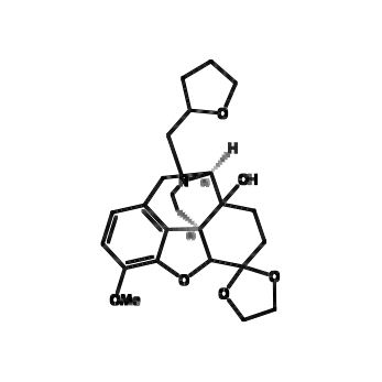 COc1ccc2c3c1OC1C4(CCC5(O)[C@H](C2)N(CC2CCCO2)CC[C@@]315)OCCO4